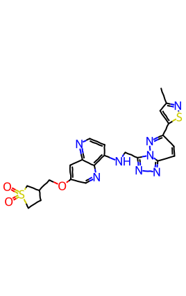 Cc1cc(-c2ccc3nnc(CNc4ccnc5cc(OCC6CCS(=O)(=O)C6)cnc45)n3n2)sn1